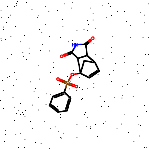 O=C1NC(=O)C2C1C1C=CC2(OS(=O)(=O)c2ccccc2)C1